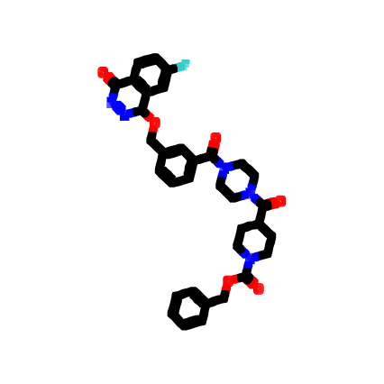 O=C1N=NC(OCc2cccc(C(=O)N3CCN(C(=O)C4CCN(C(=O)OCc5ccccc5)CC4)CC3)c2)c2cc(F)ccc21